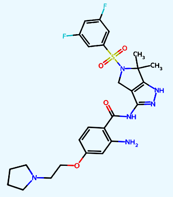 CC1(C)c2[nH]nc(NC(=O)c3ccc(OCCN4CCCC4)cc3N)c2CN1S(=O)(=O)c1cc(F)cc(F)c1